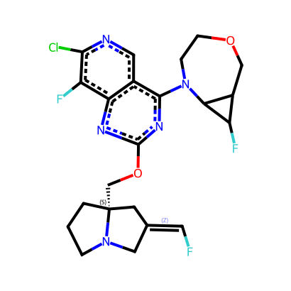 F/C=C1\CN2CCC[C@@]2(COc2nc(N3CCOCC4C(F)C43)c3cnc(Cl)c(F)c3n2)C1